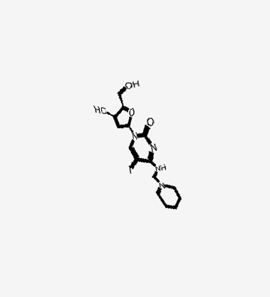 O=c1nc(NCN2CCCCC2)c(I)cn1[C@H]1C[C@@H](O)[C@@H](CO)O1